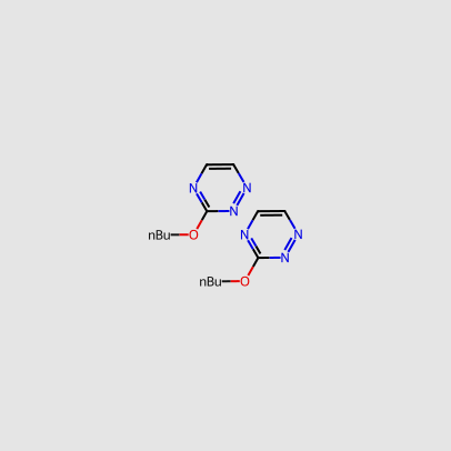 CCCCOc1nccnn1.CCCCOc1nccnn1